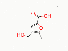 Cc1oc(C(=O)O)cc1CO